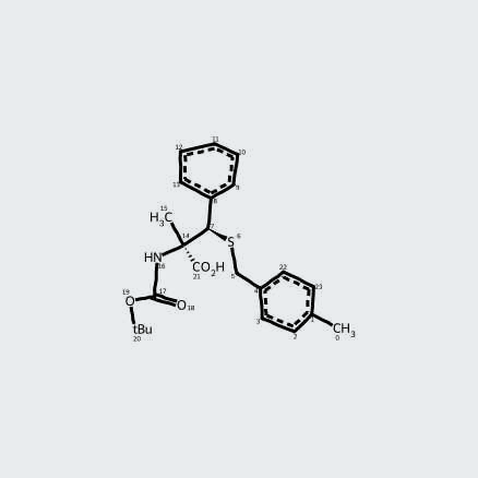 Cc1ccc(CS[C@H](c2ccccc2)[C@](C)(NC(=O)OC(C)(C)C)C(=O)O)cc1